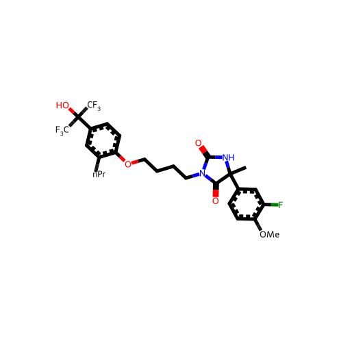 CCCc1cc(C(O)(C(F)(F)F)C(F)(F)F)ccc1OCCCCN1C(=O)NC(C)(c2ccc(OC)c(F)c2)C1=O